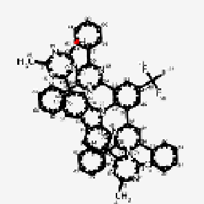 Cc1nc(C)nc(-c2ccc3c4ccc(-c5nc(C)nc(C)n5)cc4n(-c4c(-c5cc(-c6ccccc6)nc(-c6ccccc6)n5)cc(C(F)(F)F)cc4-c4nc(-c5ccccc5)cc(-c5ccccc5)n4)c3c2)n1